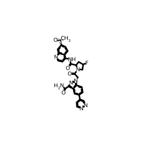 C[S+]([O-])c1ccc2c(NC(=O)C3CC(F)CN3C(=O)Cn3nc(C(N)=O)c4cc(-c5ccnnc5)ccc43)ccnc2c1